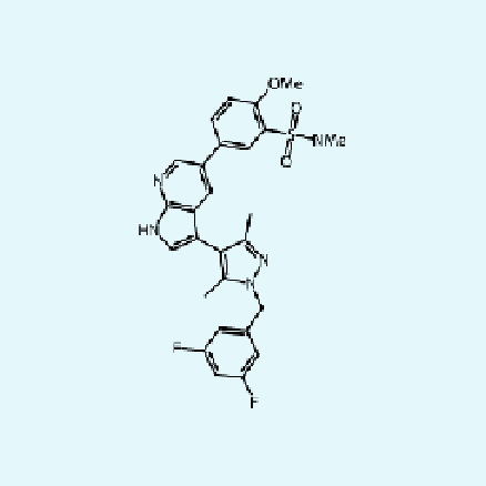 CNS(=O)(=O)c1cc(-c2cnc3[nH]cc(-c4c(C)nn(Cc5cc(F)cc(F)c5)c4C)c3c2)ccc1OC